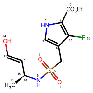 CCOC(=O)c1[nH]cc(CS(=O)(=O)N[C@@H](C)C=CO)c1F